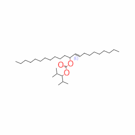 CCCCCCCC/C=C/C(CCCCCCCCCCC)OC(=O)OC(C(C)C)C(C)C